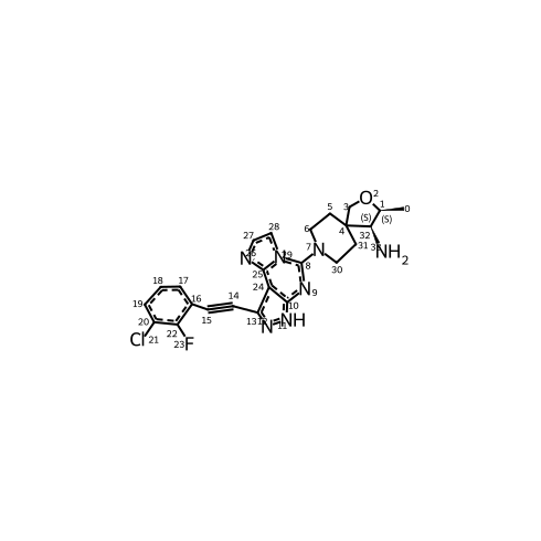 C[C@@H]1OCC2(CCN(c3nc4[nH]nc(C#Cc5cccc(Cl)c5F)c4c4nccn34)CC2)[C@@H]1N